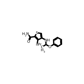 CCCc1c(NC(C)Oc2ccccc2)csc1C(N)=O